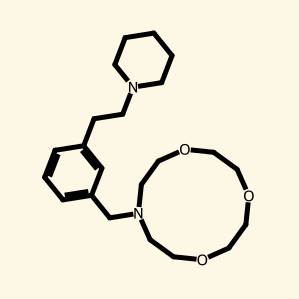 c1cc(CCN2CCCCC2)cc(CN2CCOCCOCCOCC2)c1